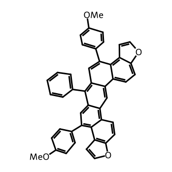 COc1ccc(-c2cc3c(-c4ccccc4)c4cc(-c5ccc(OC)cc5)c5c6ccoc6ccc5c4cc3c3ccc4occc4c23)cc1